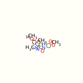 CCn1nc(C(=O)NC[C@H]2CC[C@H](S(C)(=O)=O)CC2)c(Cl)c1-c1ccc(OCC2(C)CC2)cc1OC